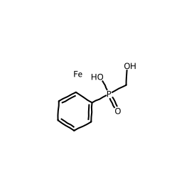 O=P(O)(CO)c1ccccc1.[Fe]